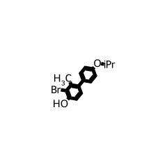 Cc1c(-c2ccc(OC(C)C)cc2)ccc(O)c1Br